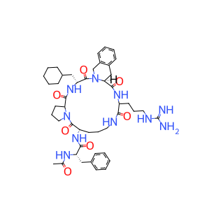 CC(=O)N[C@@H](Cc1ccccc1)C(=O)N[C@H]1CCCNC(=O)C(CCCNC(=N)N)NC(=O)[C@@H]2Cc3ccccc3CN2C(=O)[C@@H](CC2CCCCC2)NC(=O)C2CCCN2C1=O